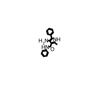 Cc1[nH]c(-c2ccccc2)c(N)c1C(=O)Nc1ccccc1